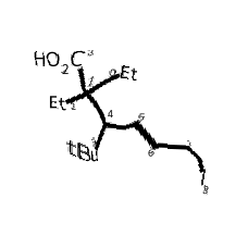 CCC(CC)(C(=O)O)C(CCCI)C(C)(C)C